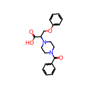 O=C(O)C(COc1ccccc1)N1CCN(C(=O)c2ccccc2)CC1